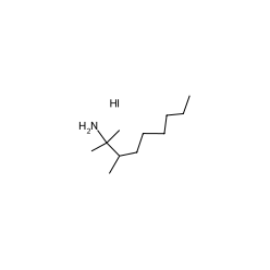 CCCCCCC(C)C(C)(C)N.I